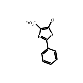 CCOC(=O)c1nc(-c2ccccc2)sc1Cl